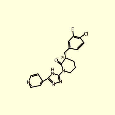 O=C1[C@@H](Cc2ccc(Cl)c(F)c2)CCCN1c1nnc(-c2ccncc2)[nH]1